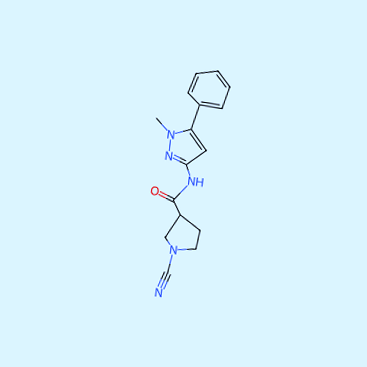 Cn1nc(NC(=O)C2CCN(C#N)C2)cc1-c1ccccc1